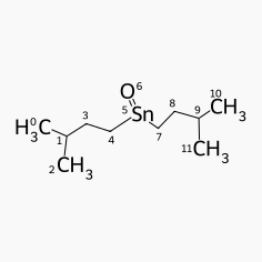 CC(C)C[CH2][Sn](=[O])[CH2]CC(C)C